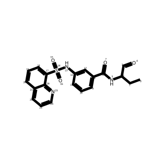 CCC(C=O)NC(=O)c1cccc(NS(=O)(=O)c2cccc3cccnc23)c1